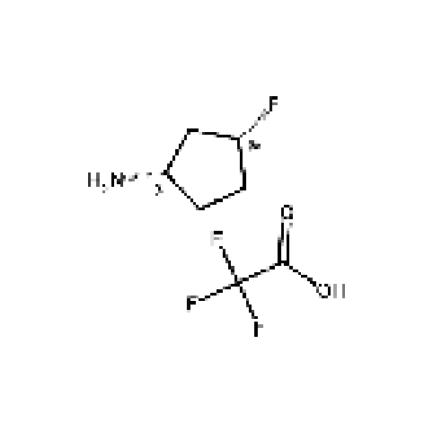 N[C@H]1CC[C@@H](F)C1.O=C(O)C(F)(F)F